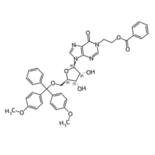 COc1ccc(C(OC[C@H]2O[C@@H](n3cnc4c(=O)n(CCOC(=O)c5ccccc5)cnc43)[C@H](O)[C@@H]2O)(c2ccccc2)c2ccc(OC)cc2)cc1